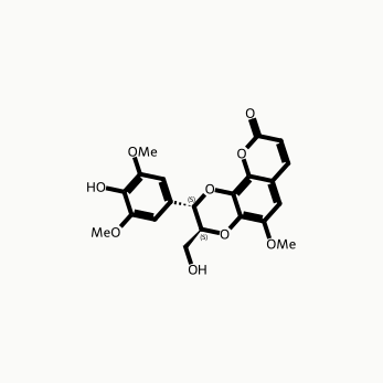 COc1cc([C@@H]2Oc3c(c(OC)cc4ccc(=O)oc34)O[C@H]2CO)cc(OC)c1O